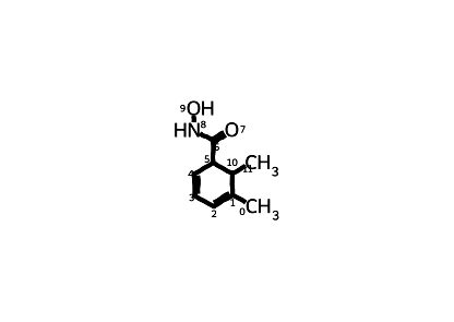 CC1=CC=CC(C(=O)NO)C1C